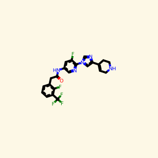 O=C(Cc1cccc(C(F)(F)F)c1F)Nc1cnc(-n2cnc(C3=CCNCC3)c2)c(F)c1